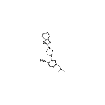 CC(C)Cc1ccc(C#N)c(N2CCN(c3nc4ccccc4s3)CC2)c1